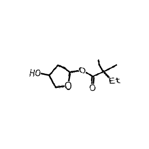 CCC(C)(C)C(=O)OC1CC(O)CO1